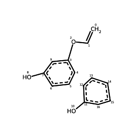 C=COc1cccc(O)c1.Oc1ccccc1